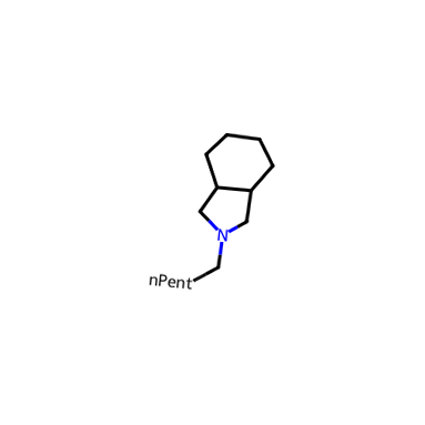 CCCCCCN1CC2CCCCC2C1